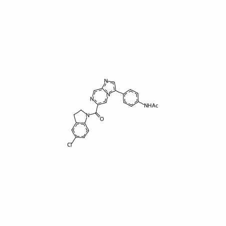 CC(=O)Nc1ccc(-c2cnc3cnc(C(=O)N4CCc5cc(Cl)ccc54)cn23)cc1